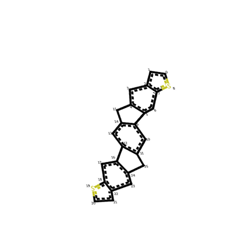 c1cc2cc3c(cc2s1)-c1cc2c(cc1C3)-c1cc3sccc3cc1C2